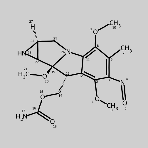 COc1c(N=O)c(C)c(OC)c2c1[C@H](COC(N)=O)[C@]1(OC)C3N[C@H]3CN21